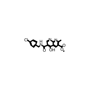 COC(=O)c1cc2c(O)c(C(=O)NCc3ccc(Cl)cc3)cnc2nc1C